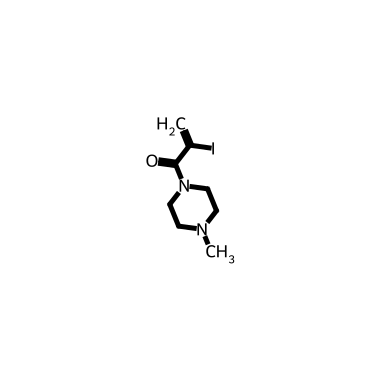 C=C(I)C(=O)N1CCN(C)CC1